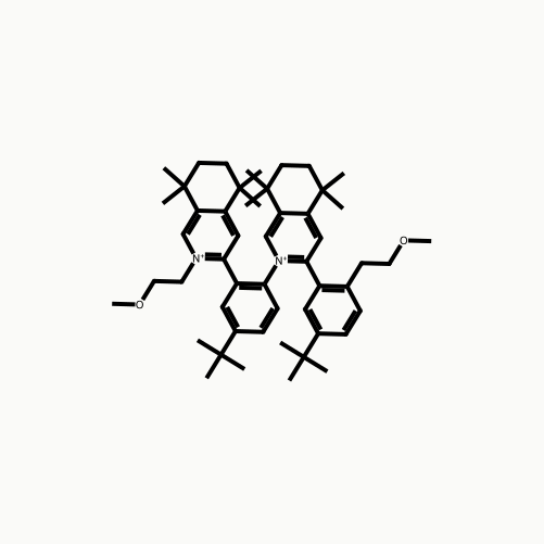 COCCc1ccc(C(C)(C)C)cc1-c1cc2c(c[n+]1-c1ccc(C(C)(C)C)cc1-c1cc3c(c[n+]1CCOC)C(C)(C)CCC3(C)C)C(C)(C)CCC2(C)C